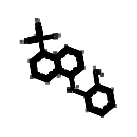 Cc1ccccc1Nc1cccc2c(S(=O)(=O)Cl)cccc12